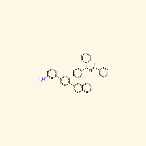 C/C(=N\C(=C1\C=CC=CC1)c1cccc(-c2c(-c3ccc(-c4cccc(N)c4)cc3)ccc3ccccc23)c1)c1ccccc1